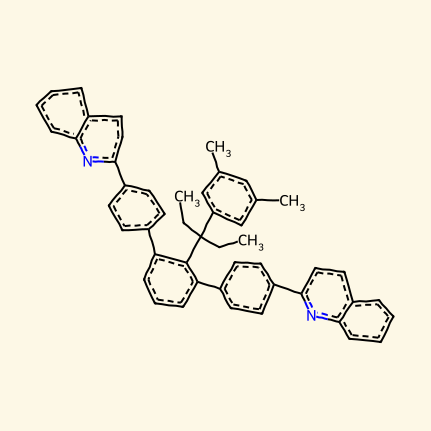 CCC(CC)(c1cc(C)cc(C)c1)c1c(-c2ccc(-c3ccc4ccccc4n3)cc2)cccc1-c1ccc(-c2ccc3ccccc3n2)cc1